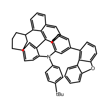 CC(C)(C)c1ccc(N(c2cccc(-c3cccc4oc5ccccc5c34)c2)c2ccccc2-c2cccc3cccc(C4CCCCC4)c23)cc1